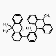 C[C@H]1c2ccccc2C(C)(C)c2cccc(-c3cccc(N4c5ccccc5N(C)c5ccccc54)c3)c21